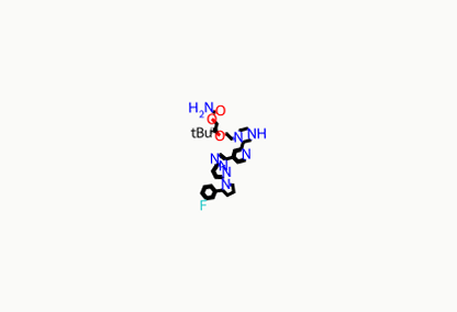 CC(C)(C)[C@@H](COC(N)=O)OCCN1CCNCC1c1cc(-c2cnc3ccc(N4CCCC4c4cccc(F)c4)nn23)ccn1